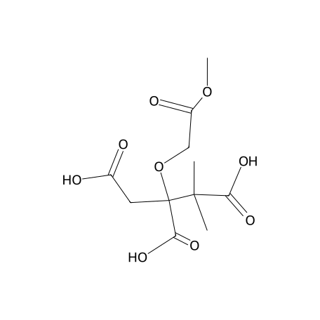 COC(=O)COC(CC(=O)O)(C(=O)O)C(C)(C)C(=O)O